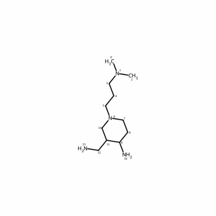 CN(C)CCCN1CCC(N)C(CN)C1